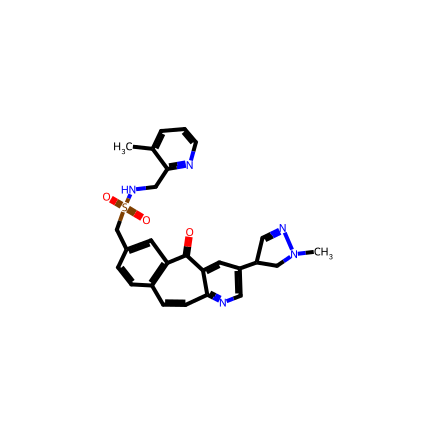 Cc1cccnc1CNS(=O)(=O)Cc1ccc2ccc3ncc(C4C=NN(C)C4)cc3c(=O)c2c1